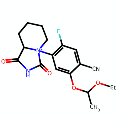 CCOC(C)Oc1cc([N+]23CCCCC2C(=O)NC3=O)c(F)cc1C#N